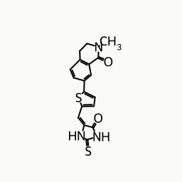 CN1CCc2ccc(-c3ccc(/C=C4/NC(=S)NC4=O)s3)cc2C1=O